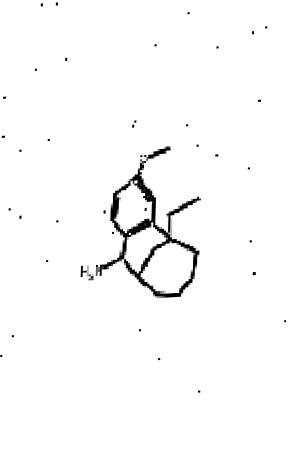 CC[C@@]12CCCCC(C1)C(N)c1ccc(OC)cc12